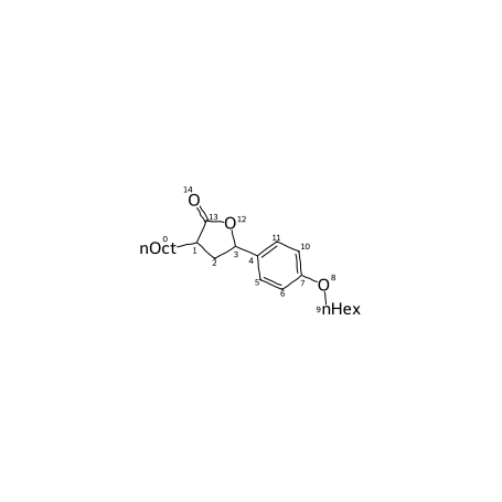 CCCCCCCCC1CC(c2ccc(OCCCCCC)cc2)OC1=O